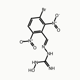 N=C(NO)NN=Cc1c([N+](=O)[O-])ccc(Br)c1[N+](=O)[O-]